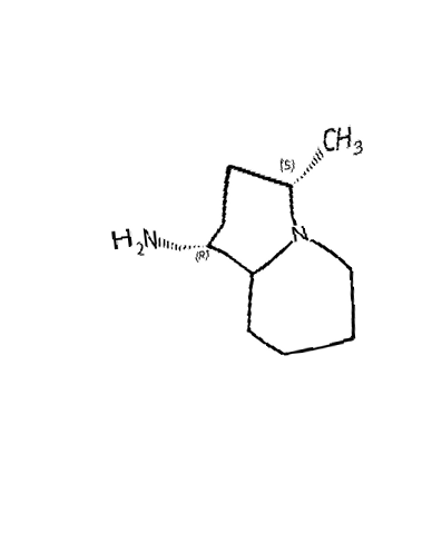 C[C@H]1C[C@@H](N)C2CCCCN21